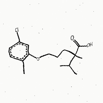 Cc1ccc(Cl)cc1OCCCC(C)(C(=O)O)C(C)C